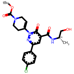 C[C@@H](CO)NC(=O)c1cc(-c2ccc(Cl)cc2)nn(C2=CCN(C(=O)OC(C)(C)C)CC2)c1=O